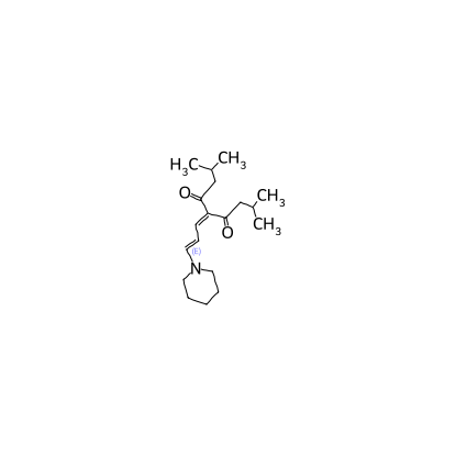 CC(C)CC(=O)C(=C/C=C/N1CCCCC1)C(=O)CC(C)C